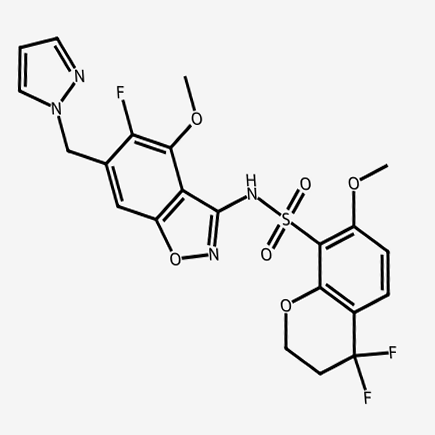 COc1ccc2c(c1S(=O)(=O)Nc1noc3cc(Cn4cccn4)c(F)c(OC)c13)OCCC2(F)F